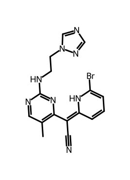 Cc1cnc(NCCn2cncn2)nc1C(C#N)=C1C=CC=C(Br)N1